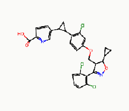 O=C(O)c1ccc(C2CC2c2ccc(OCC3C(c4c(Cl)cccc4Cl)=NOC3C3CC3)cc2Cl)cn1